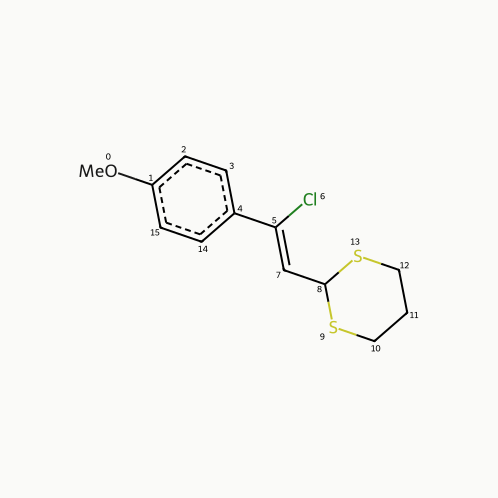 COc1ccc(C(Cl)=CC2SCCCS2)cc1